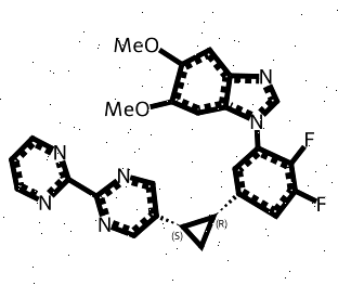 COc1cc2ncn(-c3cc([C@@H]4C[C@@H]4c4cnc(-c5ncccn5)nc4)cc(F)c3F)c2cc1OC